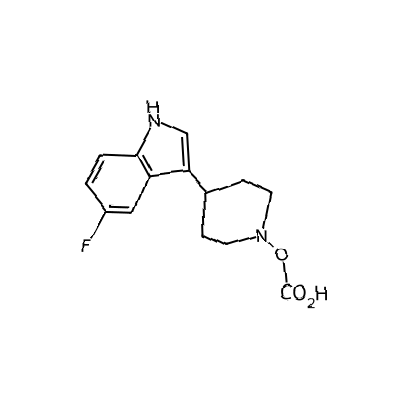 O=C(O)ON1CCC(c2c[nH]c3ccc(F)cc23)CC1